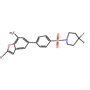 CCc1cc2cc(-c3ccc(S(=O)(=O)N4CCC(F)(F)CC4)cc3)cc(C)c2o1